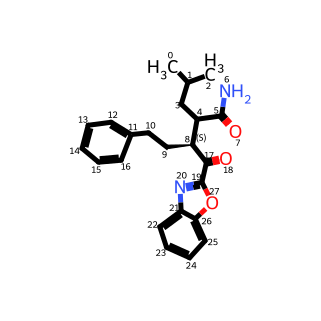 CC(C)CC(C(N)=O)[C@H](CCc1ccccc1)C(=O)c1nc2ccccc2o1